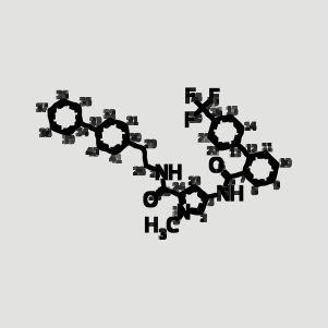 Cn1cc(NC(=O)c2ccccc2-c2ccc(C(F)(F)F)cc2)cc1C(=O)NCCc1ccc(-c2ccccc2)cc1